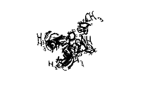 Cc1ccc(S(=O)(=O)CNC(=O)C(=O)C(CC2CCC2)NC(=O)[C@@H]2[C@@H]3[C@H](CN2C(=O)[C@@H](NC(=O)OC(C)(C)C)C2CCCCC2)C3(C)C)cc1